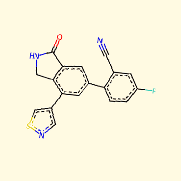 N#Cc1cc(F)ccc1-c1cc2c(c(-c3cnsc3)c1)CNC2=O